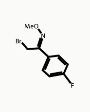 CO/N=C(\CBr)c1ccc(F)cc1